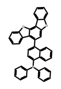 c1ccc(N(c2ccccc2)c2ccc(-c3cc4oc5ccccc5c4c4oc5ccccc5c34)c3ccccc23)cc1